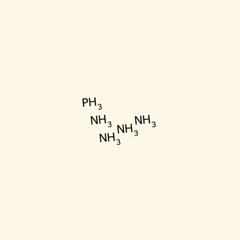 N.N.N.N.P